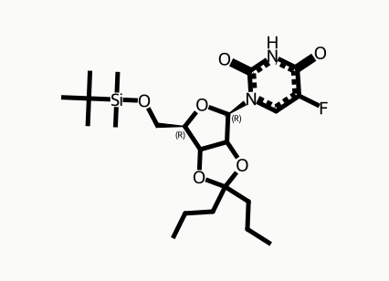 CCCC1(CCC)OC2C(O1)[C@@H](CO[Si](C)(C)C(C)(C)C)O[C@H]2n1cc(F)c(=O)[nH]c1=O